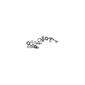 CN(C)C/C=C/C(=O)Nc1ccc(S(=O)(=O)N2CCC[C@@H](NC(=O)c3n[nH]cc3NC(=O)c3c(Cl)cccc3Cl)C2)cc1